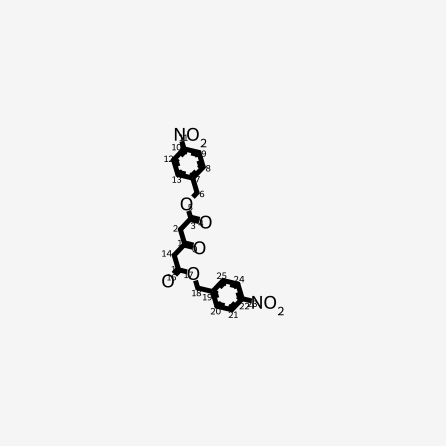 O=C(CC(=O)OCc1ccc([N+](=O)[O-])cc1)CC(=O)OCc1ccc([N+](=O)[O-])cc1